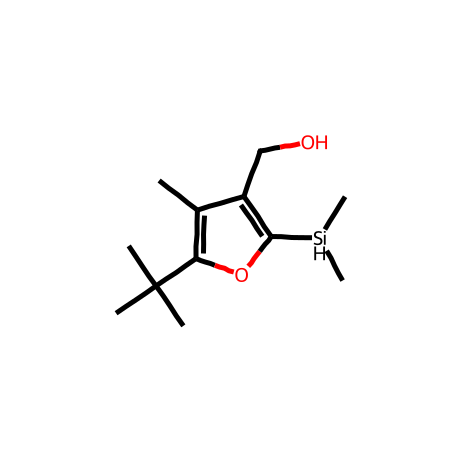 Cc1c(C(C)(C)C)oc([SiH](C)C)c1CO